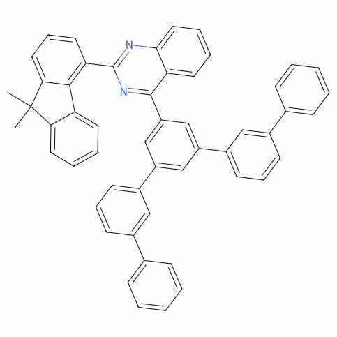 CC1(C)c2ccccc2-c2c(-c3nc(-c4cc(-c5cccc(-c6ccccc6)c5)cc(-c5cccc(-c6ccccc6)c5)c4)c4ccccc4n3)cccc21